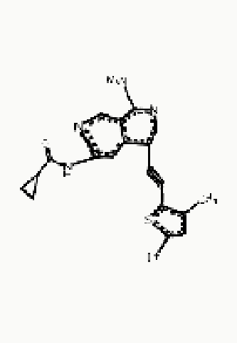 CCc1cc(C)c(C#Cc2cnc(NC)c3cnc(NC(=O)C4CC4)cc23)s1